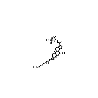 CC(C)[C@@H](CC[C@@H](C)C1CCC2C3C(CC[C@@]21C)[C@@]1(C)CC[C@H](NCCCNCCCCN)C[C@@H]1C[C@H]3O)OS(=O)(=O)O